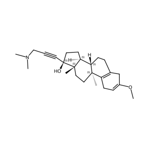 COC1=CCC2=C(CC[C@H]3[C@@H]4CC[C@@](O)(C#CCN(C)C)[C@@]4(C)CC[C@]23C)C1